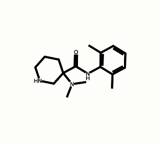 Cc1cccc(C)c1NC(=O)C1(N(C)C)CCCNC1